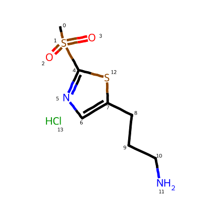 CS(=O)(=O)c1ncc(CCCN)s1.Cl